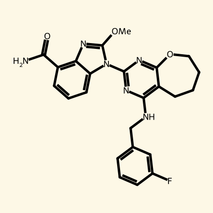 COc1nc2c(C(N)=O)cccc2n1-c1nc(NCc2cccc(F)c2)c2c(n1)OCCCC2